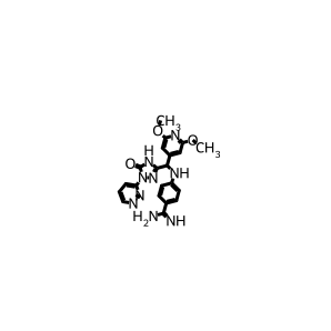 COc1cc(C(Nc2ccc(C(=N)N)cc2)c2nn(-c3cccnn3)c(=O)[nH]2)cc(OC)n1